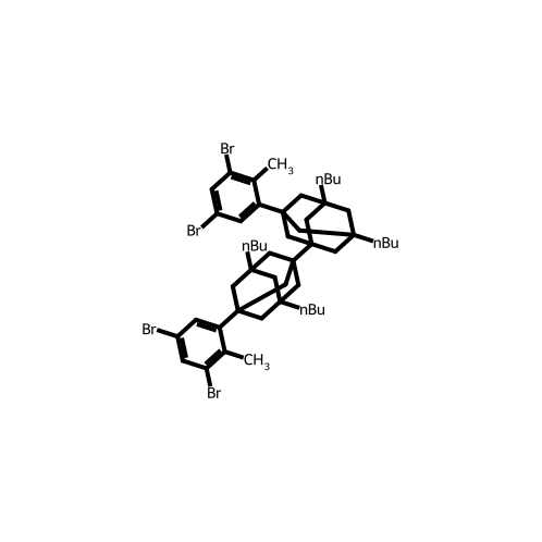 CCCCC12CC3(CCCC)CC(c4cc(Br)cc(Br)c4C)(C1)CC(C14CC5(CCCC)CC(CCCC)(CC(c6cc(Br)cc(Br)c6C)(C5)C1)C4)(C2)C3